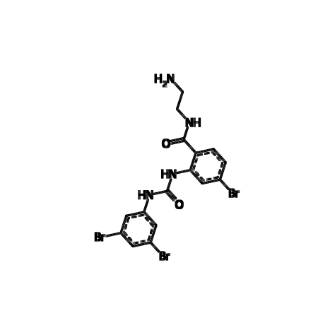 NCCNC(=O)c1ccc(Br)cc1NC(=O)Nc1cc(Br)cc(Br)c1